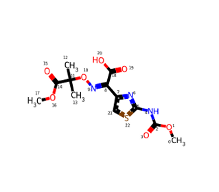 COC(=O)Nc1nc(C(=NOC(C)(C)C(=O)OC)C(=O)O)cs1